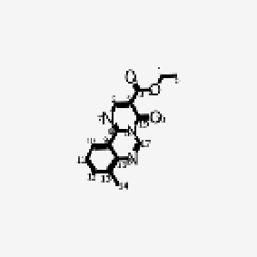 CCOC(=O)c1cnc2c3cccc(C)c3ncn2c1=O